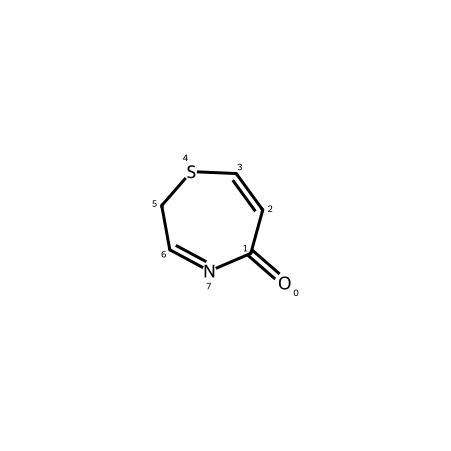 O=C1C=CSCC=N1